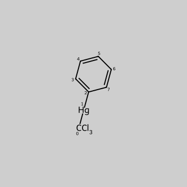 Cl[C](Cl)(Cl)[Hg][c]1ccccc1